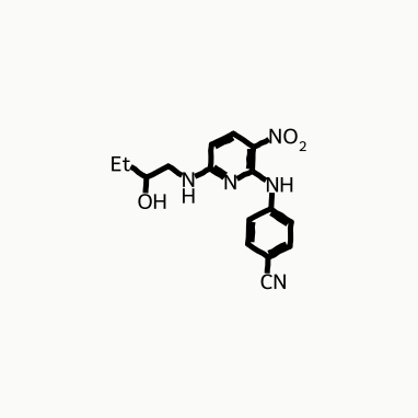 CCC(O)CNc1ccc([N+](=O)[O-])c(Nc2ccc(C#N)cc2)n1